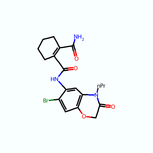 CCCN1C(=O)COc2cc(Br)c(NC(=O)C3=C(C(N)=O)CCCC3)cc21